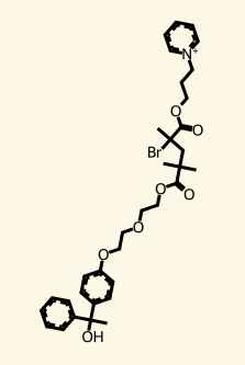 CC(C)(CC(C)(Br)C(=O)OCCC[n+]1ccccc1)C(=O)OCCOCCOc1ccc(C(C)(O)c2ccccc2)cc1